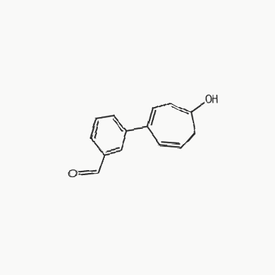 O=Cc1cccc(C2=CC=C(O)CC=C2)c1